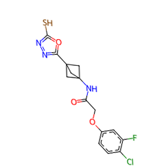 O=C(COc1ccc(Cl)c(F)c1)NC12CC(c3nnc(S)o3)(C1)C2